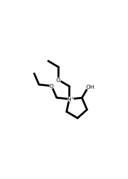 CCOC[N+]1(COCC)CCCC1O